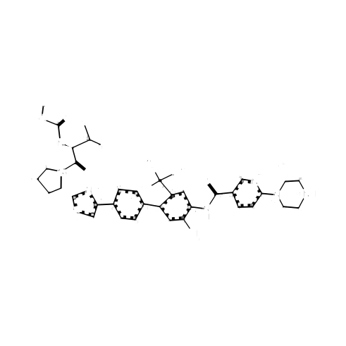 COC(=O)N[C@H](C(=O)N1CCC[C@H]1c1nc(-c2ccc(-c3cc(Cl)c(NC(=O)c4ccc(N5CCNC[C@H]5C)nc4)cc3C(F)(F)F)cc2)c[nH]1)C(C)C